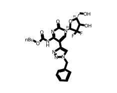 CCCCOC(=O)Nc1nc(=O)n([C@@H]2O[C@H](CO)C(O)C2(F)F)cc1-c1cn(Cc2ccccc2)nn1